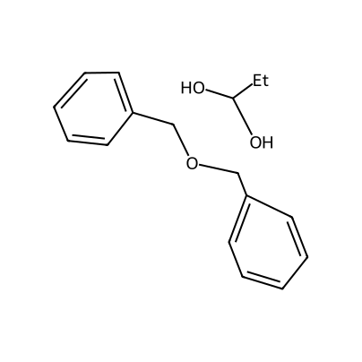 CCC(O)O.c1ccc(COCc2ccccc2)cc1